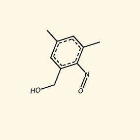 Cc1cc(C)c(N=O)c(CO)c1